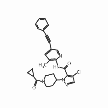 Cc1cc(C#Cc2ccccc2)cnc1NC(=O)c1c(Cl)cnn1C1CCN(C(=O)C2CC2)CC1